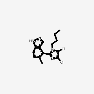 CCCCn1c(-c2c(C)ccc3[nH]ncc23)nc(Cl)c1Cl